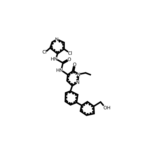 CCn1nc(-c2cccc(-c3cccc(CO)c3)c2)cc(NC(=O)Nc2c(Cl)cncc2Cl)c1=O